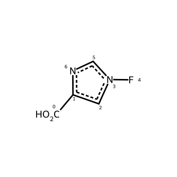 O=C(O)c1cn(F)cn1